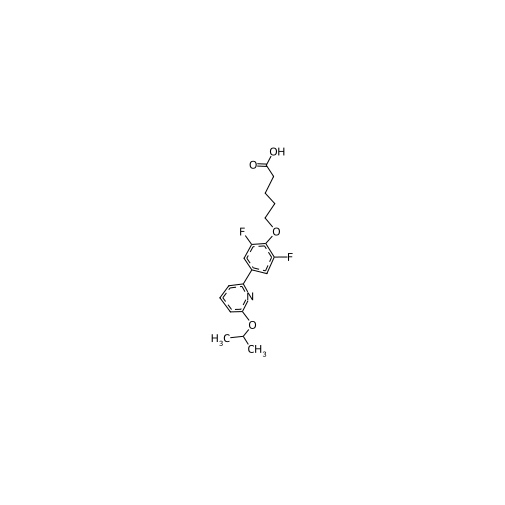 CC(C)Oc1cccc(-c2cc(F)c(OCCCCC(=O)O)c(F)c2)n1